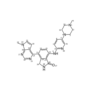 CN1CCN(c2ccc(Nc3ccc(-c4ncnc5c4ccn5C)c4c3C(=O)NC4)nc2)CC1